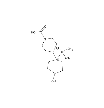 CC(C)(C)[N+]1(C2CCN(C(=O)O)CC2)CCC(O)CC1